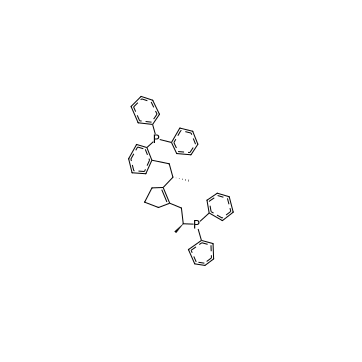 C[C@@H](Cc1ccccc1P(c1ccccc1)c1ccccc1)C1=C(C[C@H](C)P(c2ccccc2)c2ccccc2)CCC1